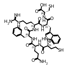 N=C(N)NCCC[C@H](NC(=O)[C@@H](Cc1ccccc1)NC(=O)[C@H](CCC(N)=O)NC(=O)[C@@H](N)CCS)C(=O)N[C@@H](Cc1c[nH]c2ccccc12)C(=O)N[C@@H](CS)C(=O)O